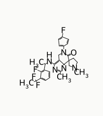 Cc1nc(N[C@H](C)c2cccc(C(C)(F)F)c2F)c2c(n1)C1(CCN(C)C1)C(=O)N(c1ccc(F)cc1)C2